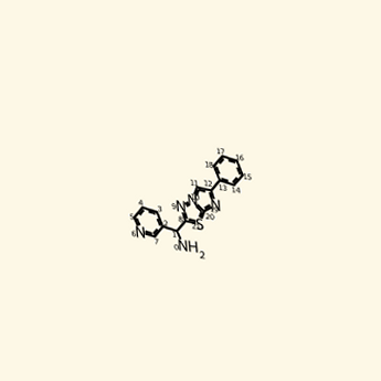 NC(c1cccnc1)c1nn2cc(-c3ccccc3)nc2s1